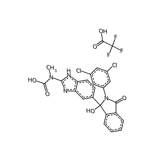 CN(C(=O)O)c1nc2cc(C3(O)c4ccccc4C(=O)N3c3cc(Cl)cc(Cl)c3)ccc2[nH]1.O=C(O)C(F)(F)F